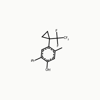 Cc1cc(O)c(C(C)C)cc1C1(C(F)(F)C(F)(F)F)CC1